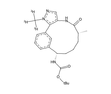 [2H]C([2H])([2H])n1ncc2c1-c1cccc(c1)[C@@H](NC(=O)OC(C)(C)C)CCC[C@@H](C)C(=O)N2